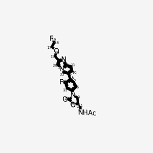 CC(=O)NC[C@H]1CN(c2ccc(-c3ccc4nc(COCCF)cn4c3)c(F)c2)C(=O)O1